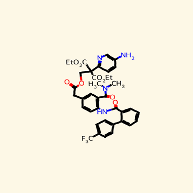 CCOC(=O)C(COC(=O)Cc1ccc(NC(=O)c2ccccc2-c2ccc(C(F)(F)F)cc2)c(C(=O)N(C)C)c1)(C(=O)OCC)c1ccc(N)cn1